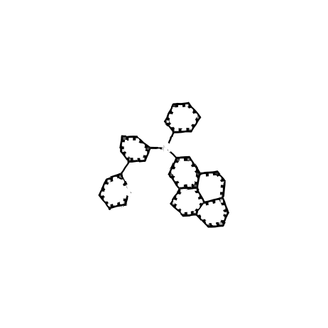 c1ccc(N(c2cccc(-c3ccccn3)c2)c2cc3ccc4cccc5ccc(c2)c3c45)cc1